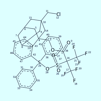 O=C(OCC12CC3CC(CC(CCl)(C3)C1)C2)C(C(F)(F)F)(C(F)(F)F)S(=O)(=O)OS(c1ccccc1)(c1ccccc1)c1ccccc1